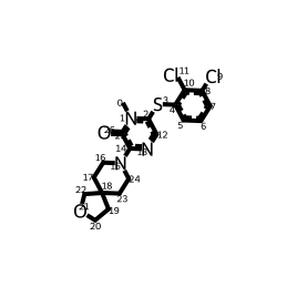 Cn1c(Sc2cccc(Cl)c2Cl)cnc(N2CCC3(CCOC3)CC2)c1=O